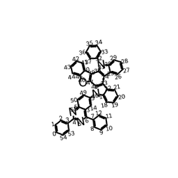 c1ccc(-c2nc(-c3ccccc3)c3cc(-n4c5ccccc5c5c6c7ccccc7n(-c7ccccc7)c6c6c7ccccc7oc6c54)ccc3n2)cc1